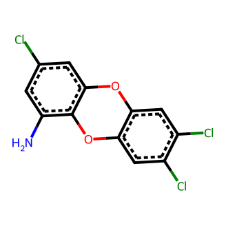 Nc1cc(Cl)cc2c1Oc1cc(Cl)c(Cl)cc1O2